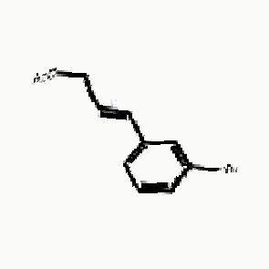 CCCCc1cccc(/C=C/COC(C)=O)c1